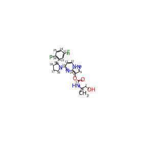 C[C@@H](CO)NC(=O)Oc1cnn2ccc(N3CCC[C@@H]3c3cc(F)ccc3F)nc12